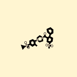 Cc1cc(S(=O)(=O)C2CC2)ccc1N1CCN(C(=O)c2cc(S(C)(=O)=O)ccc2-c2ccccc2)CC1